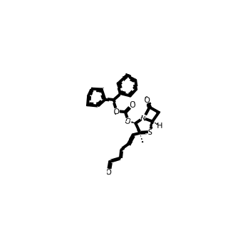 C[C@@]1(/C=C/C=C/C=O)S[C@@H]2CC(=O)N2[C@H]1OC(=O)OC(c1ccccc1)c1ccccc1